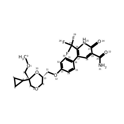 COC[C@]1(C2CC2)COC[C@@H](COc2ccc(-c3cc(C(N)=O)c(=O)[nH]c3C(F)(F)F)cc2)O1